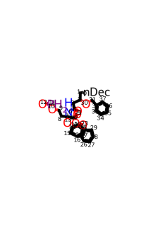 CCCCCCCCCCCC(CC(=O)NC(CCO[PH2]=O)(Oc1ccccc1)C(=O)OOc1ccccc1)OCc1ccccc1